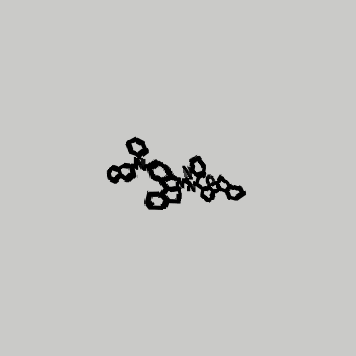 c1ccc(N(c2ccc3ccccc3c2)c2ccc3c(c2)c2c4ccccc4ccc2n3-c2nc(-c3cccc4c3oc3ccc5ccccc5c34)c3ccccc3n2)cc1